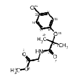 COC(=O)CNC(=O)C(C)(C)Oc1ccc(Cl)cc1